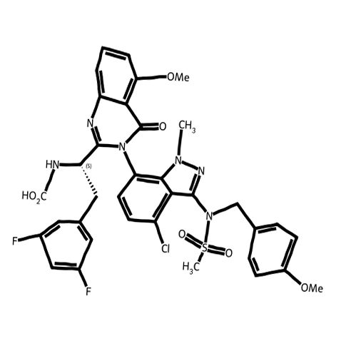 COc1ccc(CN(c2nn(C)c3c(-n4c([C@H](Cc5cc(F)cc(F)c5)NC(=O)O)nc5cccc(OC)c5c4=O)ccc(Cl)c23)S(C)(=O)=O)cc1